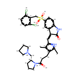 Cc1[nH]c(/C=C2\C(=O)Nc3ccc(S(=O)(=O)Cc4c(Cl)cccc4Cl)cc32)c(C)c1CCC(=O)N1CCC[C@@H]1CN1CCCC1